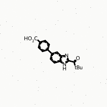 CC(C)(C)C(=O)c1nc2cc(-c3ccc(C(=O)O)cc3)ccc2[nH]1